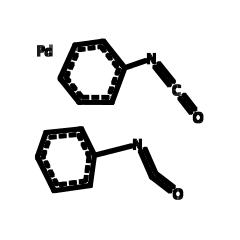 O=C=Nc1ccccc1.O=C=Nc1ccccc1.[Pd]